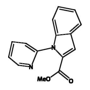 COC(=O)c1cc2ccccc2n1-c1ccccn1